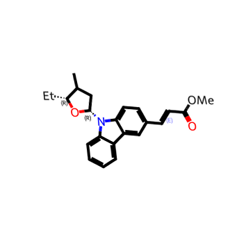 CC[C@H]1O[C@@H](n2c3ccccc3c3cc(/C=C/C(=O)OC)ccc32)CC1C